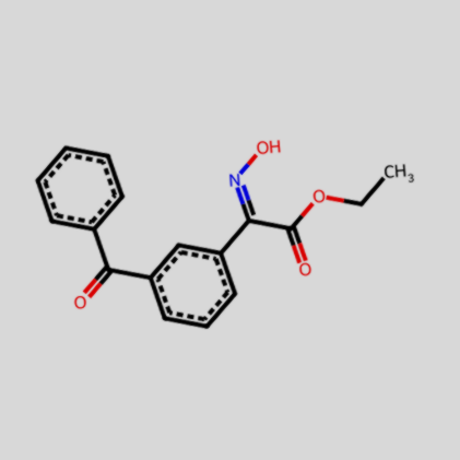 CCOC(=O)/C(=N\O)c1cccc(C(=O)c2ccccc2)c1